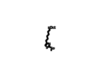 CCCCCCCCCCCCCCc1cs[c]([Sn][CH3])n1